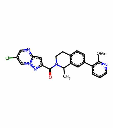 COc1ncccc1-c1ccc2c(c1)C(C)N(C(=O)c1cc3ncc(Cl)cn3n1)CC2